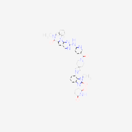 CN(C)C(=O)c1cc2cnc(Nc3ccc(C(=O)N4CCC5(CC4)CN(c4cccc6c4n(C)c(=O)n6[C@H]4CCC(=O)NC4=O)C5)cn3)nc2n1C1CCCC1